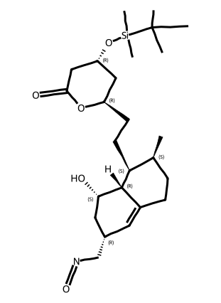 C[C@H]1CCC2=C[C@H](CN=O)C[C@H](O)[C@@H]2[C@H]1CC[C@@H]1C[C@@H](O[Si](C)(C)C(C)(C)C)CC(=O)O1